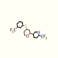 FC(F)(F)c1cccc(SC2CCOC(c3ccc(C(F)(F)F)nc3)C2)c1